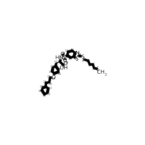 CCCCCCCSc1nc2ccc(S(=O)(=O)N[C@H](Cc3ccc(OCCCc4ccccc4)cc3)C(=O)O)cc2s1